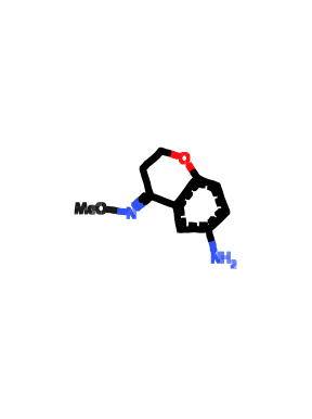 CO/N=C1\CCOc2ccc(N)cc21